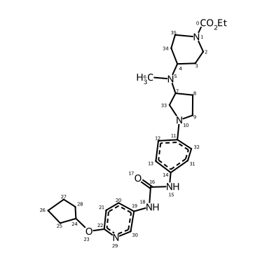 CCOC(=O)N1CCC(N(C)C2CCN(c3ccc(NC(=O)Nc4ccc(OC5CCCC5)nc4)cc3)C2)CC1